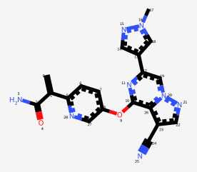 C=C(C(N)=O)c1ccc(Oc2nc(-c3cnn(C)c3)cn3ncc(C#N)c23)cn1